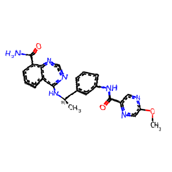 COc1cnc(C(=O)Nc2cccc([C@@H](C)Nc3ncnc4c(C(N)=O)cccc34)c2)cn1